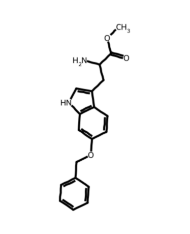 COC(=O)C(N)Cc1c[nH]c2cc(OCc3ccccc3)ccc12